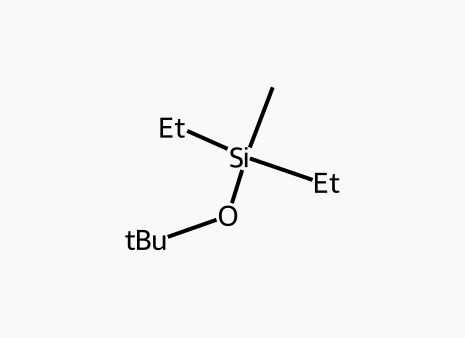 CC[Si](C)(CC)OC(C)(C)C